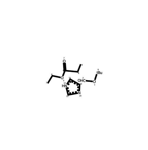 CC(C)(C)OC=O.CCOC(=O)CC.c1c[nH]cn1